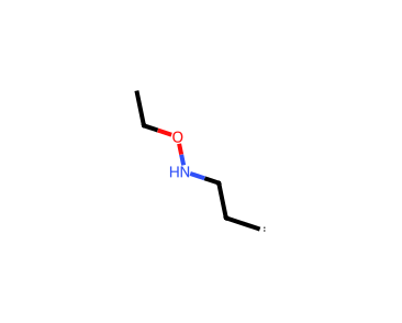 [CH]CCNOCC